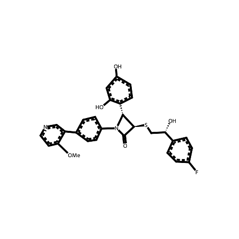 COc1ccncc1-c1ccc(N2C(=O)[C@H](SC[C@H](O)c3ccc(F)cc3)[C@H]2c2ccc(O)cc2O)cc1